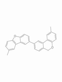 Cc1ccc2c(c1)-c1cc(-c3ccc4oc5ccc(C)cc5c4c3)ccc1CO2